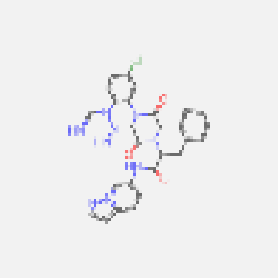 N=CN(N=N)c1ccc(Cl)cc1N1CC(=O)N(C(Cc2ccccc2)C(=O)Nc2ccc3ccnn3c2)CC1=O